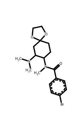 CN(C)C1CC2(CCC1N(C)C(=O)c1ccc(Br)cc1)OCCO2